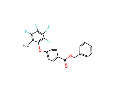 O=C(OCc1ccccc1)c1ccc(Oc2c(F)c(F)c(F)c(F)c2C(F)(F)F)cc1